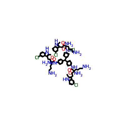 Cc1[nH]c2ccc(Cl)cc2c1CC(=O)[C@@](N)(CCCCN)C(=O)Nc1ccc(C(c2ccc(NC(=O)[C@](N)(CCCCN)C(=O)Cc3c(C)[nH]c4ccc(Cl)cc34)cc2)c2ccc(NC(=O)[C@](N)(CCCCN)C(=O)Cc3c(C)[nH]c4ccc(Cl)cc34)cc2)cc1.Cl